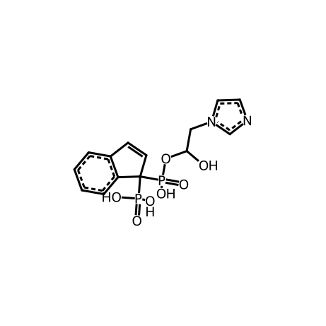 O=P(O)(O)C1(P(=O)(O)OC(O)Cn2ccnc2)C=Cc2ccccc21